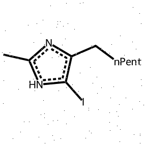 CCCCCCc1nc(C)[nH]c1I